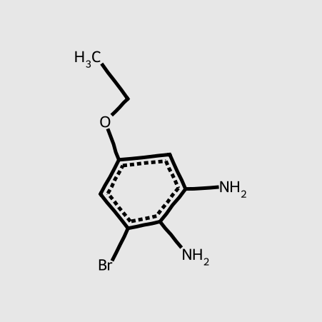 CCOc1cc(N)c(N)c(Br)c1